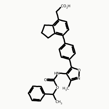 Cc1noc(-c2ccc(-c3ccc(CC(=O)O)c4c3CCC4)cc2)c1NC(=O)OC(C)c1ccccc1